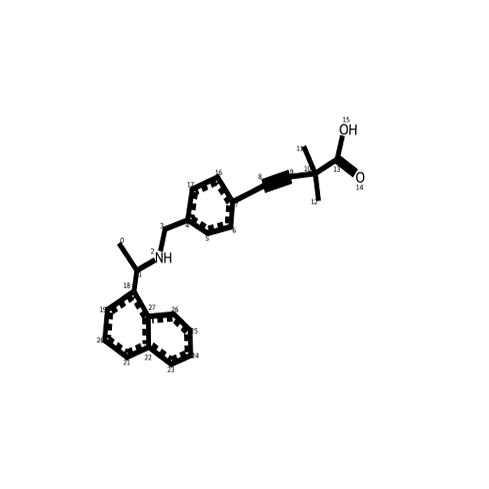 CC(NCc1ccc(C#CC(C)(C)C(=O)O)cc1)c1cccc2ccccc12